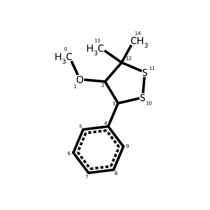 COC1C(c2ccccc2)SSC1(C)C